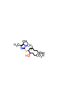 CCCCCCCCCCCC/C=C\C(Sc1nc(C)c(C)n1C)C(O)CCC(=O)O